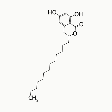 CCCCCCCCCCCCCC1Cc2cc(O)cc(O)c2C(=O)O1